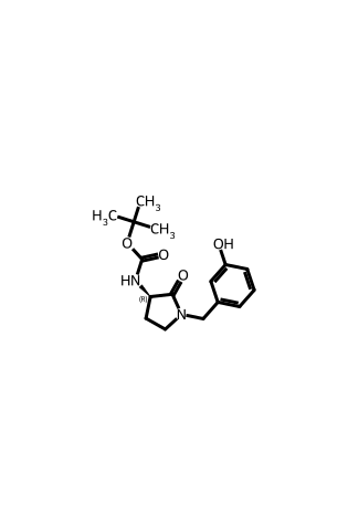 CC(C)(C)OC(=O)N[C@@H]1CCN(Cc2cccc(O)c2)C1=O